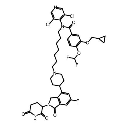 O=C1CCC(N2Cc3c(cc(F)cc3C3CCN(CCCCCCCN(C(=O)c4ccc(OC(F)F)c(OCC5CC5)c4)c4c(Cl)cncc4Cl)CC3)C2=O)C(=O)N1